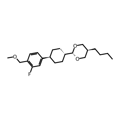 CCCC[C@H]1CO[C@H]([C@H]2CC[C@H](c3ccc(COC)c(F)c3)CC2)OC1